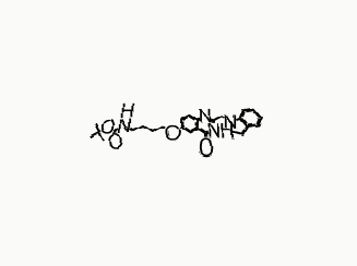 CC(C)(C)OC(=O)NCCCCOc1ccc2nc(CN3CCc4ccccc43)[nH]c(=O)c2c1